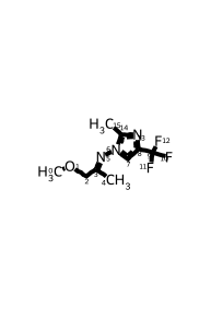 COC/C(C)=N/n1cc(C(F)(F)F)nc1C